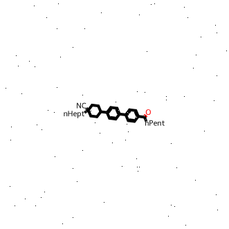 CCCCCCCC1(C#N)CCC(c2ccc(-c3ccc(C(=O)CCCCC)cc3)cc2)CC1